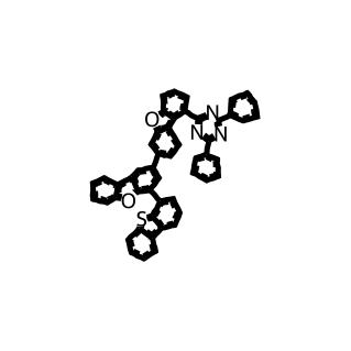 c1ccc(-c2nc(-c3ccccc3)nc(-c3cccc4oc5cc(-c6cc(-c7cccc8c7sc7ccccc78)c7oc8ccccc8c7c6)ccc5c34)n2)cc1